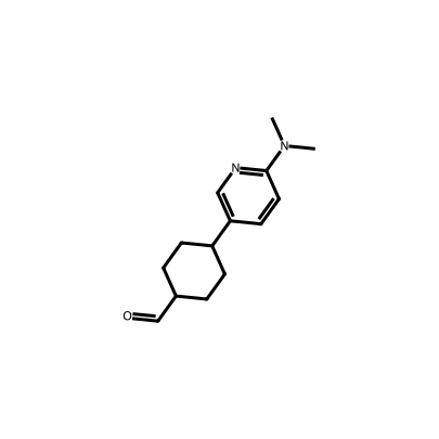 CN(C)c1ccc(C2CCC(C=O)CC2)cn1